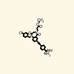 CCOC(=O)CCN1CC(=O)N(Cc2ccc(Cl)cc2)c2ccc(C#Cc3ccc(C(=N)N)cc3)cc2C1=O